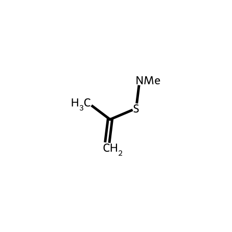 C=C(C)SNC